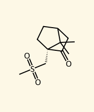 CC1(C)C2CC[C@]1(CS(C)(=O)=O)C(=O)C2